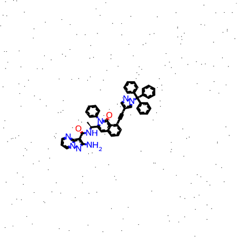 C[C@H](NC(=O)c1c(N)nn2cccnc12)c1cc2cccc(C#Cc3cnn(C(c4ccccc4)(c4ccccc4)c4ccccc4)c3)c2c(=O)n1-c1ccccc1